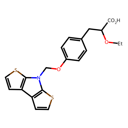 CCOC(Cc1ccc(OCn2c3sccc3c3ccsc32)cc1)C(=O)O